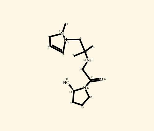 CN1CC=CN1CC(C)(C)NCC(=O)N1CCC[C@H]1C#N